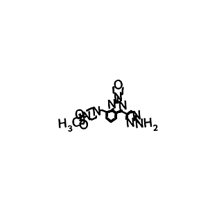 CS(=O)(=O)N1CCN(Cc2cccc3c(-c4cnc(N)nc4)nc(N4CCOCC4)nc23)CC1